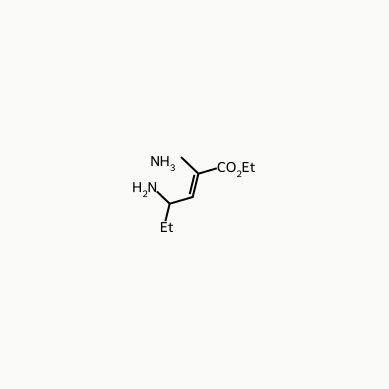 CCOC(=O)C(C)=CC(N)CC.N